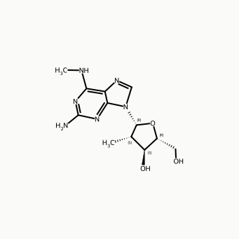 CNc1nc(N)nc2c1ncn2[C@@H]1O[C@H](CO)[C@@H](O)[C@@H]1C